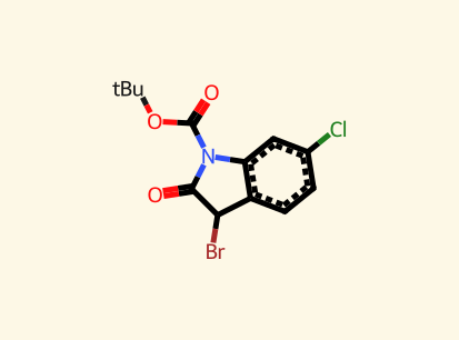 CC(C)(C)OC(=O)N1C(=O)C(Br)c2ccc(Cl)cc21